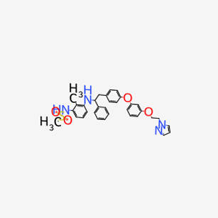 Cc1c(NC(Cc2ccc(Oc3cccc(OCCn4cccn4)c3)cc2)c2ccccc2)cccc1NS(C)(=O)=O